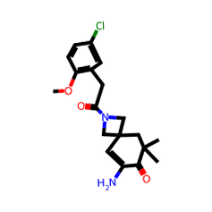 COc1ccc(Cl)cc1CC(=O)N1CC2(C=C(N)C(=O)C(C)(C)C2)C1